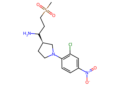 CS(=O)(=O)CCC(N)[C@@H]1CCN(c2ccc([N+](=O)[O-])cc2Cl)C1